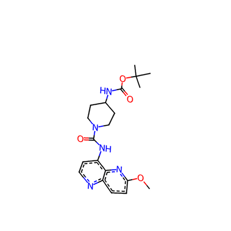 COc1ccc2nccc(NC(=O)N3CCC(NC(=O)OC(C)(C)C)CC3)c2n1